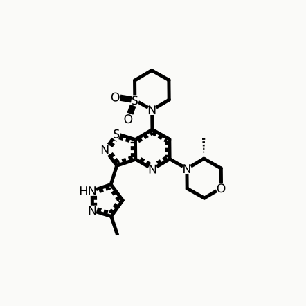 Cc1cc(-c2nsc3c(N4CCCCS4(=O)=O)cc(N4CCOC[C@H]4C)nc23)[nH]n1